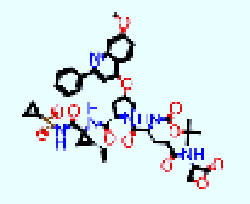 C=C[C@@H]1C[C@]1(NC(=O)[C@@H]1C[C@@H](Oc2cc(-c3ccccc3)nc3cc(OC)ccc23)CN1C(=O)[C@H](CCC(=O)N[C@H]1COC1=O)NC(=O)OC(C)(C)C)C(=O)NS(=O)(=O)C1CC1